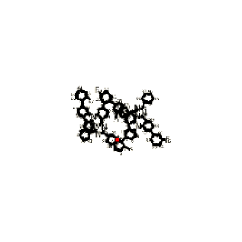 Cc1ccccc1-c1ccc2c(c1)c1cc(-c3ccc(-c4ccc(F)cc4-c4ccc(-c5nc(-c6ccccc6)nc(-c6ccccc6)n5)c(-n5c6ccccc6c6ccc(-c7ccccc7C)cc65)c4)cc3C)ccc1n2-c1cc(-c2cccc(F)c2)ccc1-c1nc(-c2ccccc2)nc(-c2ccccc2)n1